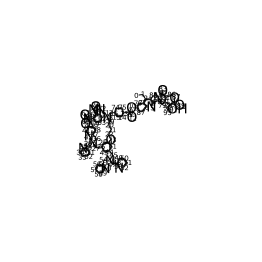 CCc1c2c(nc3ccc(OC(=O)c4ccc(CN(CCCCOc5cc(CN(Cc6ccccn6)Cc6ccccn6)cc(CN(Cc6ccccn6)Cc6ccccn6)c5)c5ccc([N+](=O)[O-])c6nonc56)cc4)cc13)-c1cc3c(c(=O)n1C2)COC(=O)[C@]3(O)CC